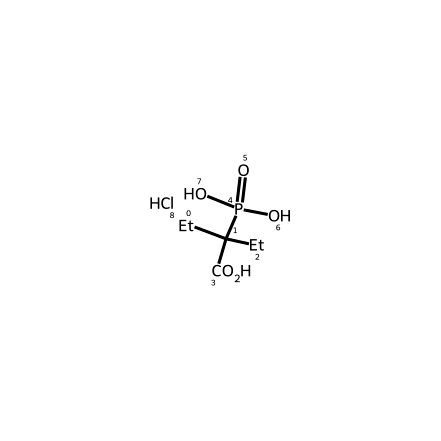 CCC(CC)(C(=O)O)P(=O)(O)O.Cl